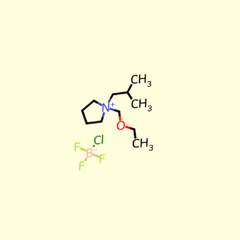 CCOC[N+]1(CC(C)C)CCCC1.F[B-](F)(F)Cl